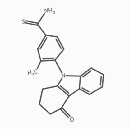 Cc1cc(C(N)=S)ccc1-n1c2c(c3ccccc31)C(=O)CCC2